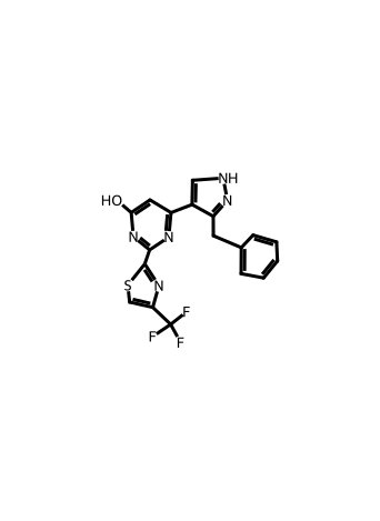 Oc1cc(-c2c[nH]nc2Cc2ccccc2)nc(-c2nc(C(F)(F)F)cs2)n1